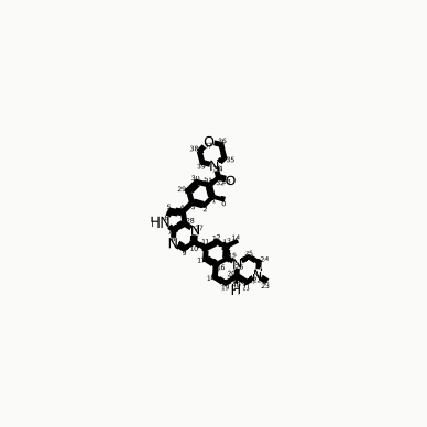 Cc1cc(-c2c[nH]c3ncc(-c4cc(C)c5c(c4)CC[C@H]4CN(C)CCN54)nc23)ccc1C(=O)N1CCOCC1